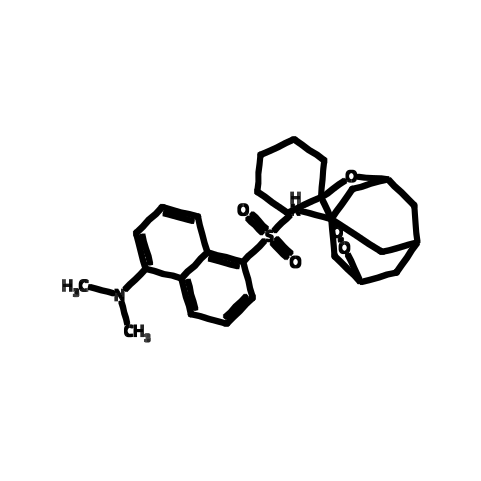 CN(C)c1cccc2c(S(=O)(=O)NC34CC5CC(C3)OOC3(CCCCC3)OC(C5)C4)cccc12